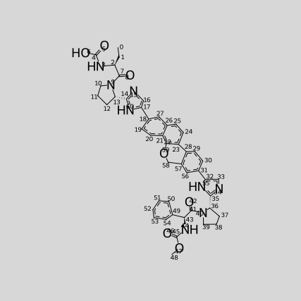 CC[C@H](NC(=O)O)C(=O)N1CCC[C@H]1c1ncc(-c2ccc3c4c(ccc3c2)-c2ccc(-c3cnc([C@@H]5CCCN5C(=O)[C@@H](NC(=O)OC)c5ccccc5)[nH]3)cc2CO4)[nH]1